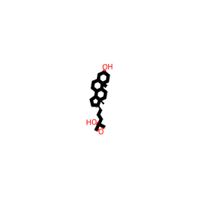 CC12CCC(O)CC1CCC1C2CC[C@@]2(C)C1CC[C@@H]2CCCC1(O)COC1